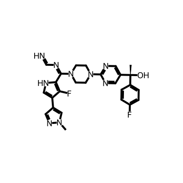 Cn1cc(-c2c[nH]c(/C(=N\C=N)N3CCN(c4ncc([C@](C)(O)c5ccc(F)cc5)cn4)CC3)c2F)cn1